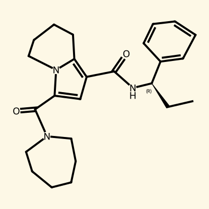 CC[C@@H](NC(=O)c1cc(C(=O)N2CCCCCC2)n2c1CCCC2)c1ccccc1